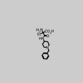 CCC(N)(C(=O)O)C(=O)NC1CCN(Cc2ccccc2)CC1